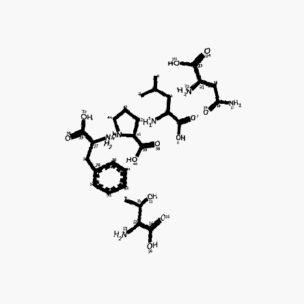 CC(C)CC(N)C(=O)O.CC(O)C(N)C(=O)O.NC(=O)CC(N)C(=O)O.NC(Cc1ccccc1)C(=O)O.O=C(O)C1CCCN1